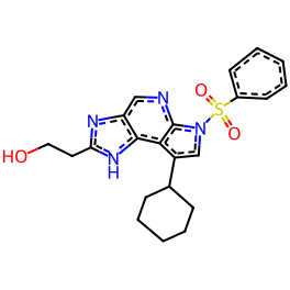 O=S(=O)(c1ccccc1)n1cc(C2CCCCC2)c2c3[nH]c(CCO)nc3cnc21